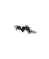 CC(C)(C)OC(=O)N1CCN(C(=O)c2ccc3c(n2)C(C)(C)CN3c2ccc(Cl)c(F)c2)C(C)(C)C1